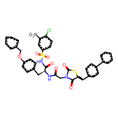 O=C(CN1C(=O)SC(=Cc2ccc(-c3ccccc3)cc2)C1=O)N[C@@H](Cc1ccc(OCc2ccccc2)cc1)C(=O)NS(=O)(=O)c1ccc(Cl)c([N+](=O)[O-])c1